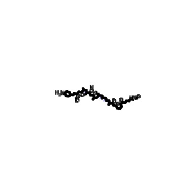 COC(CC1CCCC(C(=O)CCCCCNC=O)O1)/C(C)=C/C=C/C=C/C(C)CC(C)C(=O)CC(O)/C(C)=C/C(C)C(=O)CC(CCC1CCC(N)CC1)OC=O